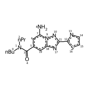 CCCCN(CCC)C(=O)c1cc(N)n2nc(-c3nccs3)nc2c1